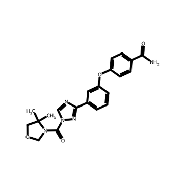 CC1(C)COCN1C(=O)n1cnc(-c2cccc(Oc3ccc(C(N)=O)cc3)c2)n1